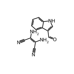 N#C/C(N)=C(/N)C#N.O=Cc1c[nH]c2ccccc12